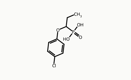 CCC(Oc1ccc(Cl)cc1)P(=O)(O)O